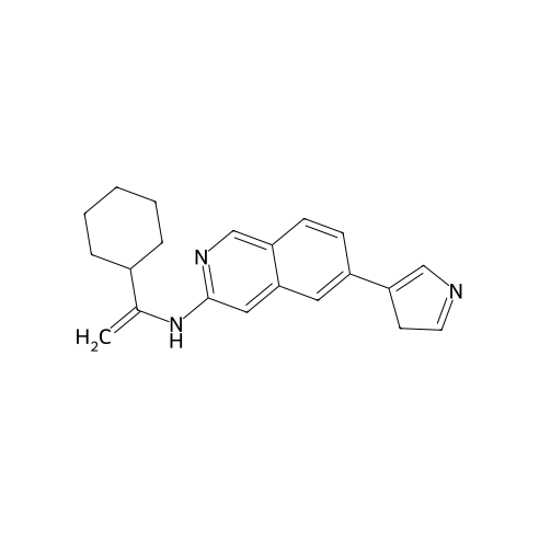 C=C(Nc1cc2cc(C3=CN=CC3)ccc2cn1)C1CCCCC1